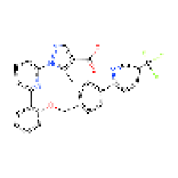 Cc1c(C(=O)O)cnn1-c1cccc(-c2ccccc2OCc2ccc(-c3ccc(C(F)(F)F)cn3)cc2)n1